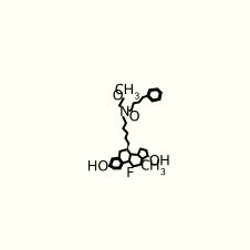 COCCN(CCCCCC[C@@H]1Cc2cc(O)ccc2C2C1C1CC[C@H](O)[C@@]1(C)C[C@@H]2F)C(=O)CCCc1ccccc1